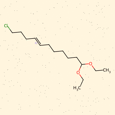 CCOC(CCCCC/C=C/CCCCl)OCC